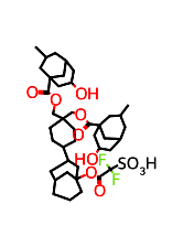 CC1CC2CC(O)CC(C(=O)OCC3(COC(=O)C45CC(C)CC(CC(O)C4)C5)CCC(C4CC5CCCC(OC(=O)C(F)(F)S(=O)(=O)O)(C5)C4)CC3)(C1)C2